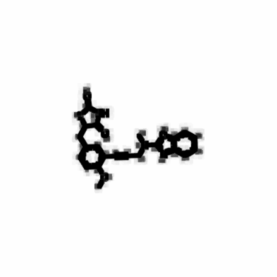 COc1ccc(CC2SC(=O)NC2=O)cc1C#CCN(C)c1nc2ccccc2o1